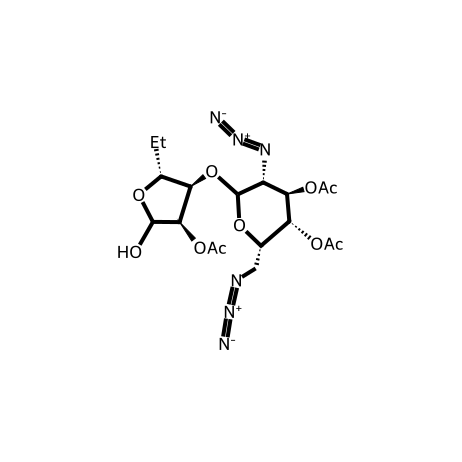 CC[C@H]1OC(O)[C@H](OC(C)=O)[C@@H]1OC1O[C@@H](CN=[N+]=[N-])[C@@H](OC(C)=O)[C@H](OC(C)=O)[C@H]1N=[N+]=[N-]